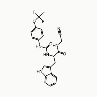 N#CCNC(=O)C(Cc1c[nH]c2ccccc12)NC(=O)Nc1ccc(OC(F)(F)F)cc1